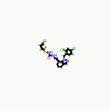 O=C(NC/C=C1\CCCc2cnn(Cc3ccc(Cl)cc3Cl)c21)NSc1ccc(Cl)s1